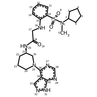 CN(C1CCCC1)S(=O)(=O)c1ccccc1NCC(=O)N[C@@H]1CCCN(c2ncnc3[nH]ncc23)C1